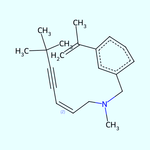 C=C(C)c1cccc(CN(C)C/C=C\C#CC(C)(C)C)c1